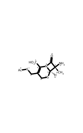 CC(=O)SCC1=C(C(=O)O)N2C(=O)[C@](C)(N)[C@H]2SC1